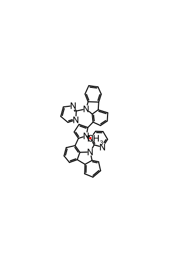 Cn1c(-c2cccc3c4ccccc4n(-c4ncccn4)c23)ccc1-c1cccc2c3ccccc3n(-c3ncccn3)c12